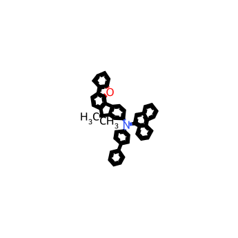 CC1(C)c2cc(N(c3ccc(-c4ccccc4)cc3)c3cc4ccccc4c4ccccc34)ccc2-c2c1ccc1c2oc2ccccc21